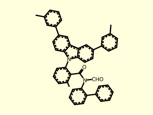 Cc1cccc(-c2ccc3c(c2)c2cc(-c4cccc(C)c4)ccc2n3-c2cccc(C)c2C(=O)N(C=O)c2ccccc2-c2ccccc2)c1